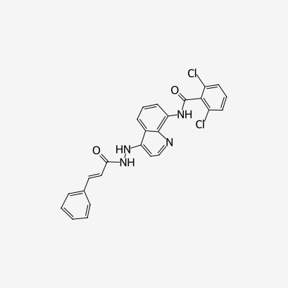 O=C(C=Cc1ccccc1)NNc1ccnc2c(NC(=O)c3c(Cl)cccc3Cl)cccc12